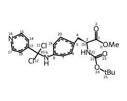 COC(=O)[C@H](Cc1ccc(NC(Cl)(Cl)c2ccncc2)cc1)NC(=O)OC(C)(C)C